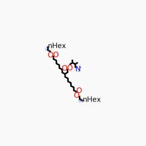 CCCCCC/C=C\COC(=O)CCCCCCCC(CCCCCCCC(=O)OC/C=C\CCCCCC)CC(=O)OCC(C)C(C)CN(C)C